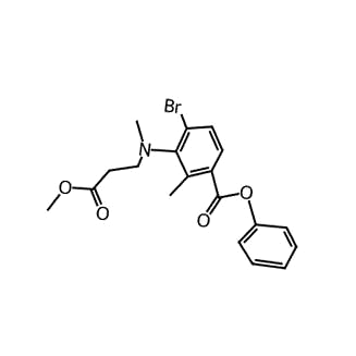 COC(=O)CCN(C)c1c(Br)ccc(C(=O)Oc2ccccc2)c1C